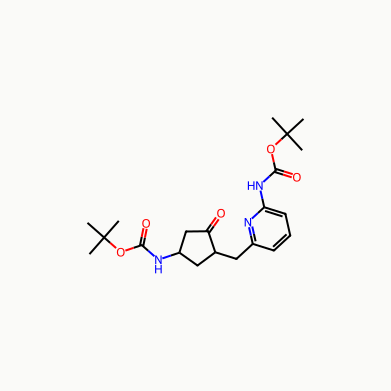 CC(C)(C)OC(=O)Nc1cccc(CC2CC(NC(=O)OC(C)(C)C)CC2=O)n1